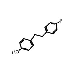 Oc1ccc(CCc2ccc(F)cc2)cc1